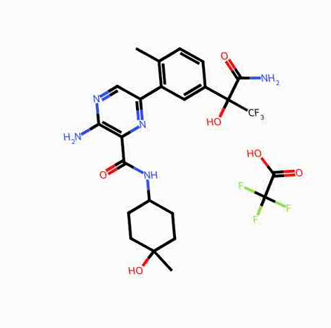 Cc1ccc(C(O)(C(N)=O)C(F)(F)F)cc1-c1cnc(N)c(C(=O)NC2CCC(C)(O)CC2)n1.O=C(O)C(F)(F)F